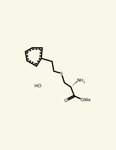 COC(=O)[C@@H](N)CSCCc1ccccc1.Cl